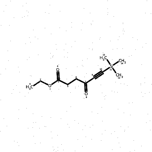 CCOC(=O)CCC(=O)C#C[Si](C)(C)C